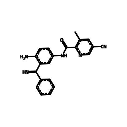 Cc1cc(C#N)cnc1C(=O)Nc1ccc(N)c(C(=N)c2ccccc2)c1